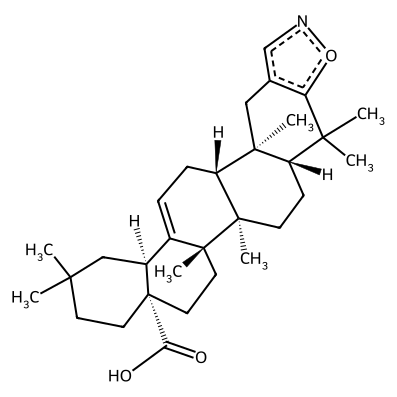 CC1(C)CC[C@]2(C(=O)O)CC[C@]3(C)C(=CC[C@@H]4[C@@]5(C)Cc6cnoc6C(C)(C)[C@@H]5CC[C@]43C)[C@@H]2C1